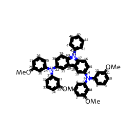 COc1cccc(N(c2cccc(OC)c2)c2ccc3c(c2)c2cc(N(c4cccc(OC)c4)c4cccc(OC)c4)ccc2n3-c2ccccc2)c1